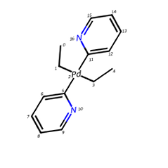 C[CH2][Pd]([CH2]C)([c]1ccccn1)[c]1ccccn1